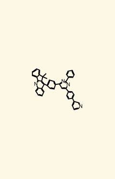 CC1(C)c2ccccc2-c2nc3ccccc3c(-c3ccc(-c4cc(-c5ccc(-c6cccnc6)cc5)nc(-c5ccccc5)n4)cc3)c21